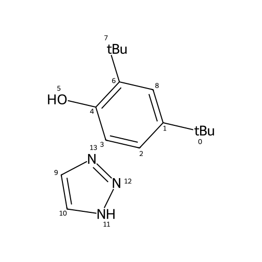 CC(C)(C)c1ccc(O)c(C(C)(C)C)c1.c1c[nH]nn1